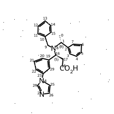 C[C@H](c1ccccc1)N(Cc1ccccc1)[C@@H](CC(=O)O)c1cccc(-n2ccnc2)c1